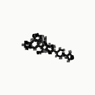 Cc1c(-c2[nH]c3sc(C4CCN(C5COC5)CC4)nc3c2C(C)C)cn2ncnc2c1C